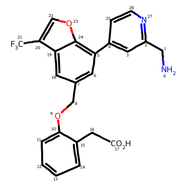 NCc1cc(-c2cc(COc3ccccc3CC(=O)O)cc3c(C(F)(F)F)coc23)ccn1